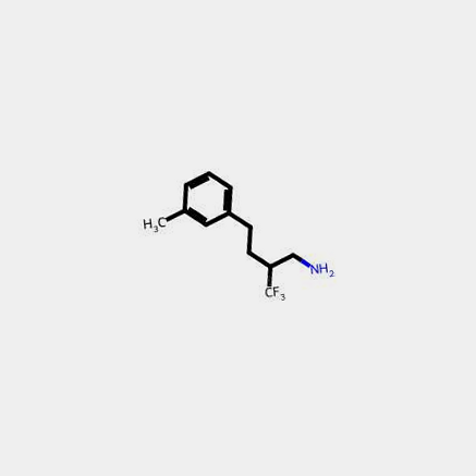 Cc1cccc(CCC(CN)C(F)(F)F)c1